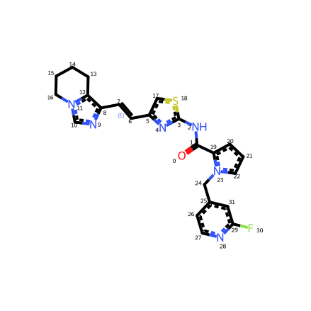 O=C(Nc1nc(/C=C/c2ncn3c2CCCC3)cs1)c1cccn1Cc1ccnc(F)c1